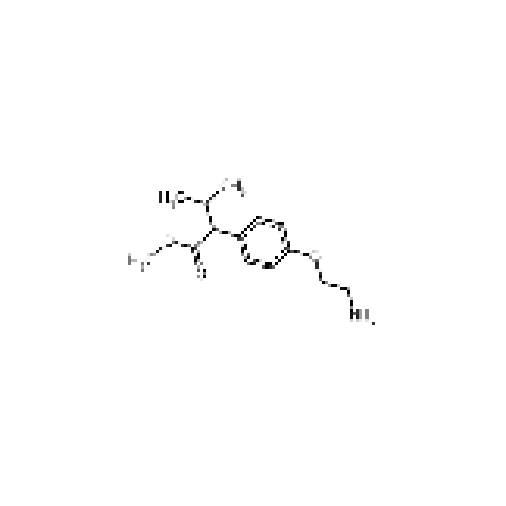 COC(=O)C(c1ccc(OCCN)cc1)C(C)C